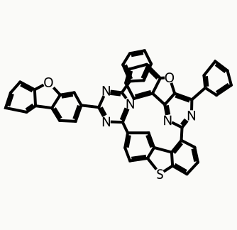 c1ccc(-c2nc(-c3ccc4c(c3)oc3ccccc34)nc(-c3ccc4sc5cccc(-c6nc(-c7ccccc7)c7oc8ccccc8c7n6)c5c4c3)n2)cc1